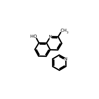 Cc1ccc2cccc(O)c2n1.c1ccncc1